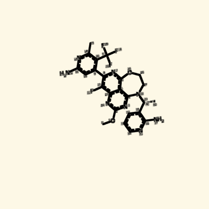 COc1nc2c3c(nc(-c4cc(N)nc(C)c4C(F)(F)F)c(F)c3n1)OCCN2[C@H](C)c1cccnc1N